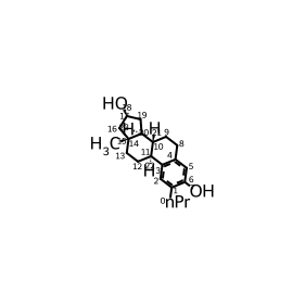 CCCc1cc2c(cc1O)CC[C@@H]1[C@@H]2CC[C@]2(C)C[C@@H](O)C[C@@H]12